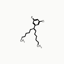 CCCCCCC(CCCCCC)c1cc(F)cc(Cl)c1